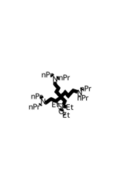 CCCN(CCC)CCCC(CCCN(CCC)CCC)(CCCN(CCC)CCC)C[Si](CC)(CC)OCC